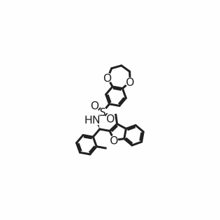 Cc1ccccc1[C@H](NS(=O)(=O)c1ccc2c(c1)OCCCO2)c1oc2ccccc2c1C